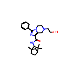 CC12CCC(C1)C(C)(C)C2NC(=O)c1nc(-c2ccccc2)n2c1CN(CCO)CC2